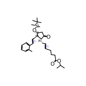 Cc1ccccc1/C=C/[C@H]1[C@H](O[Si](C)(C)C(C)(C)C)CC(=O)[C@@H]1C/C=C/CCCC(=O)OC(C)C